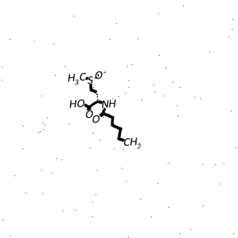 CCCCCC(=O)N[C@@H](CC[S+](C)[O-])C(=O)O